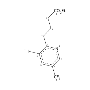 CCOC(=O)CCCc1ncc(C(F)(F)F)cc1I